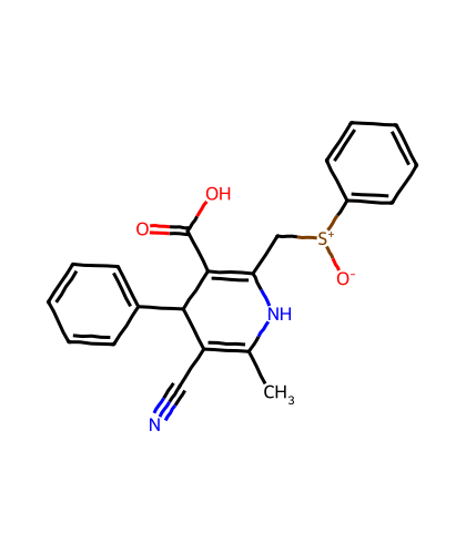 CC1=C(C#N)C(c2ccccc2)C(C(=O)O)=C(C[S+]([O-])c2ccccc2)N1